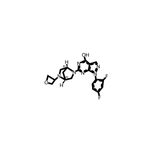 Oc1nc(N2C[C@H]3C[C@@H]2CN3C2COC2)nc2c1cnn2-c1ccc(F)cc1F